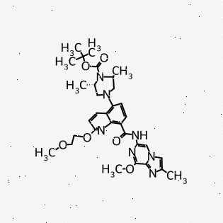 COCCOc1ccc2c(N3C[C@H](C)N(C(=O)OC(C)(C)C)[C@@H](C)C3)ccc(C(=O)Nc3cn4cc(C)nc4c(OC)n3)c2n1